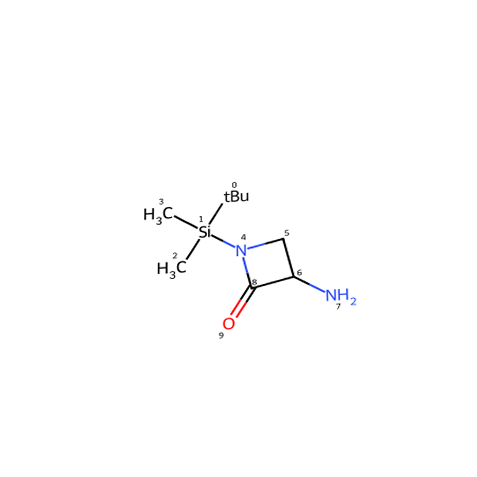 CC(C)(C)[Si](C)(C)N1CC(N)C1=O